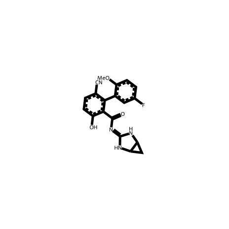 COc1ccc(F)cc1-c1c(C#N)ccc(O)c1C(=O)N=C1NC2CC2N1